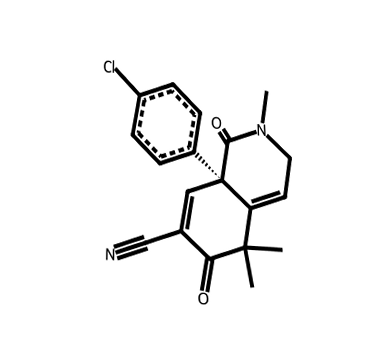 CN1CC=C2C(C)(C)C(=O)C(C#N)=C[C@@]2(c2ccc(Cl)cc2)C1=O